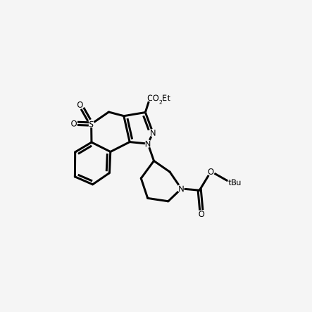 CCOC(=O)c1nn(C2CCCN(C(=O)OC(C)(C)C)C2)c2c1CS(=O)(=O)c1ccccc1-2